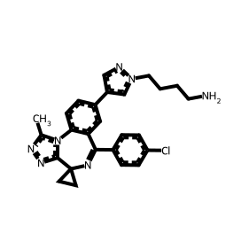 Cc1nnc2n1-c1ccc(-c3cnn(CCCCN)c3)cc1C(c1ccc(Cl)cc1)=NC21CC1